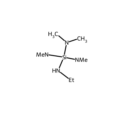 CCN[Si](NC)(NC)N(C)C